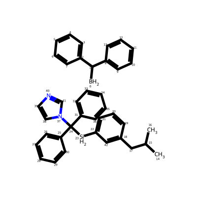 BC(c1ccccc1)c1ccccc1.CC(C)Cc1cccc([SiH2]C(c2ccccc2)(c2ccccc2)n2ccnc2)c1